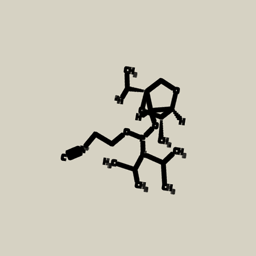 [2H]C(C)[C@@]12CO[C@@H]([C@H](C)O1)[C@@H]2OP(OCC[N+]#[C-])N(C(C)C)C(C)C